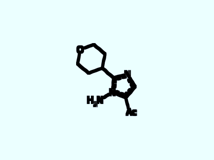 CC(=O)c1cnc(C2CCOCC2)n1N